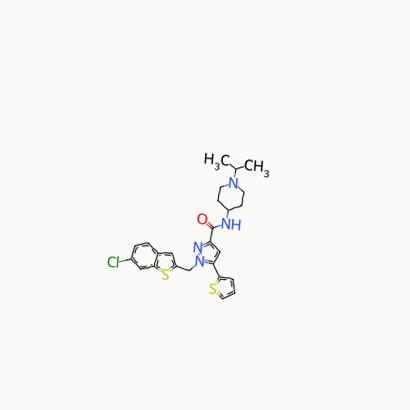 CC(C)N1CCC(NC(=O)c2cc(-c3cccs3)n(Cc3cc4ccc(Cl)cc4s3)n2)CC1